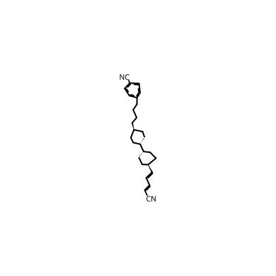 N#CC=CC=C[C@H]1CC[C@H]([C@H]2CC[C@H](CCCCc3ccc(C#N)cc3)CC2)CC1